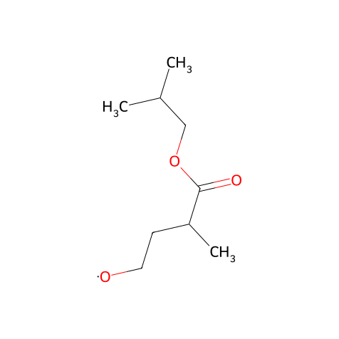 CC(C)COC(=O)C(C)CC[O]